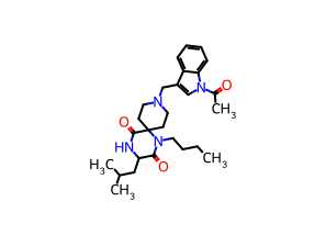 CCCCN1C(=O)C(CC(C)C)NC(=O)C12CCN(Cc1cn(C(C)=O)c3ccccc13)CC2